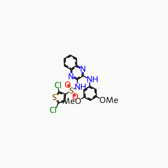 COc1cc(Nc2nc3ccccc3nc2NS(=O)(=O)c2cc(Cl)sc2Cl)cc(OC)c1